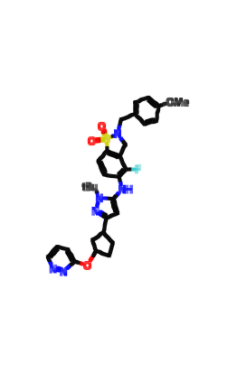 COc1ccc(CN2Cc3c(ccc(Nc4cc(C5CCC(Oc6cccnn6)C5)nn4C(C)(C)C)c3F)S2(=O)=O)cc1